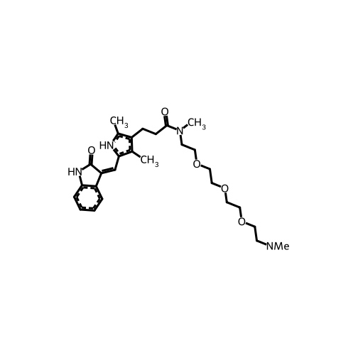 CNCCOCCOCCOCCN(C)C(=O)CCc1c(C)[nH]c(/C=C2\C(=O)Nc3ccccc32)c1C